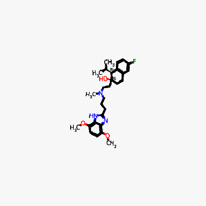 COc1ccc(OC)c2[nH]c(CCCN(C)CC[C@@]3(O)CCc4cc(F)ccc4[C@@H]3C(C)C)nc12